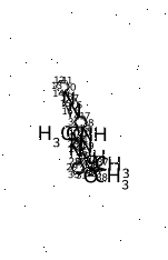 COc1cc(N2CCN(C3CCCCC3)CC2)ccc1Nc1ncnc(Nc2ccccc2S(=O)(=O)C(C)C)n1